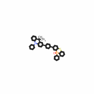 CC1(C)c2ccccc2N(c2ccccc2)c2ccc(-c3ccc(-c4ccc5c(c4)P(=O)(c4ccccc4)c4ccccc4S5)cc3)cc21